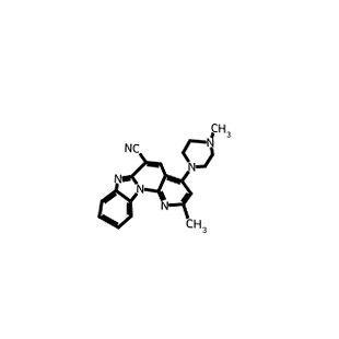 Cc1cc(N2CCN(C)CC2)c2cc(C#N)c3nc4ccccc4n3c2n1